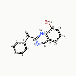 C=C(c1ccccc1)c1ncc2cccc(Br)c2n1